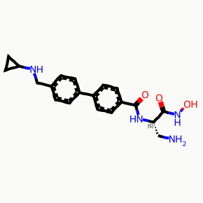 NC[C@H](NC(=O)c1ccc(-c2ccc(CNC3CC3)cc2)cc1)C(=O)NO